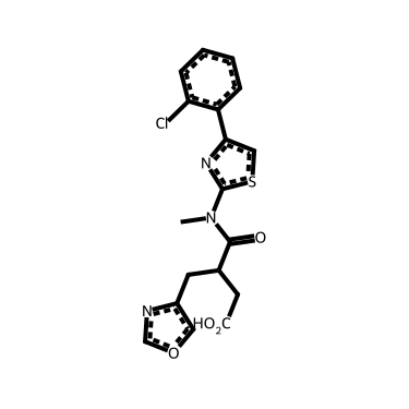 CN(C(=O)C(CC(=O)O)Cc1cocn1)c1nc(-c2ccccc2Cl)cs1